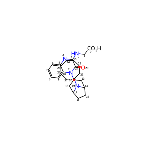 O=C(O)CNc1nc2ccccc2n(C2CC3CCC(C2)N3C2CCCCCCC2)c1=O